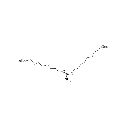 CCCCCCCCCCCCCCCCCCOP(N)OCCCCCCCCCCCCCCCCCC